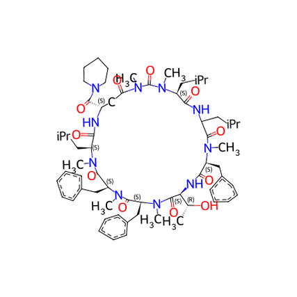 CC(C)CC1NC(=O)[C@H](CC(C)C)N(C)C(=O)N(C)C(=O)C[C@@H](C(=O)N2CCCCC2)NC(=O)[C@H](CC(C)C)N(C)C(=O)[C@H](Cc2ccccc2)N(C)C(=O)[C@H](Cc2ccccc2)N(C)C(=O)[C@H]([C@@H](C)O)NC(=O)[C@H](Cc2ccccc2)N(C)C1=O